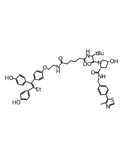 CCC(=C(c1ccc(O)cc1)c1ccc(OCCNC(=O)CCCCC(=O)NC(C(=O)N2C[C@H](O)C[C@H]2C(=O)NCc2ccc(-c3scnc3C)cc2)C(C)(C)C)cc1)c1ccc(O)cc1